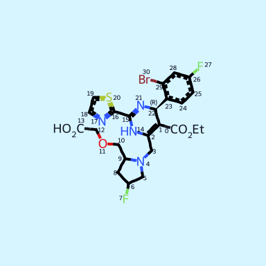 CCOC(=O)C1=C(CN2CC(F)CC2COCC(=O)O)NC(c2nccs2)=N[C@H]1c1ccc(F)cc1Br